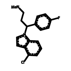 CNCCC(c1ccc(F)cc1)n1ccc2c(Cl)cccc21